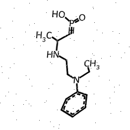 CCN(CCNC(C)C[PH](=O)O)c1ccccc1